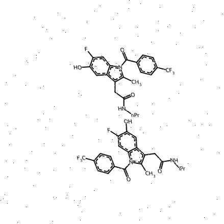 CCCNC(=O)Cc1c(C)n(C(=O)c2ccc(C(F)(F)F)cc2)c2cc(F)c(O)cc12.Cc1c(CC(=O)NC(C)C)c2cc(O)c(F)cc2n1C(=O)c1ccc(C(F)(F)F)cc1